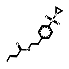 CC=CC(=O)NCCc1ccc(S(=O)(=O)N2CC2)cc1